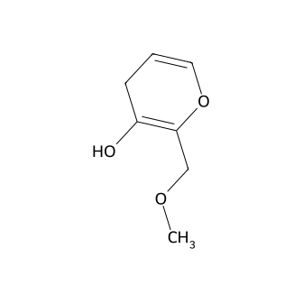 COCC1=C(O)CC=CO1